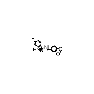 Fc1ccc2c(NCc3ccc4c(c3)OCO4)n[nH]c2c1